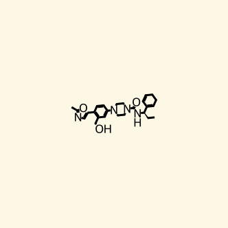 CC[C@@H](NC(=O)N1CCN(c2ccc(-c3cnc(C)o3)c(CO)c2)CC1)C1=CCCC=C1